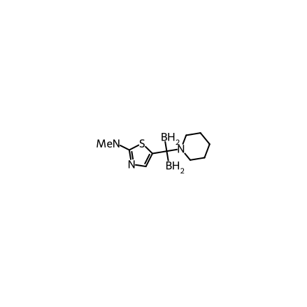 BC(B)(c1cnc(NC)s1)N1CCCCC1